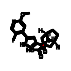 COc1cc(-c2cc(C(=O)N3[C@@H]4CC[C@H]3CC(C(=O)O)C4)n[nH]2)c(F)cn1